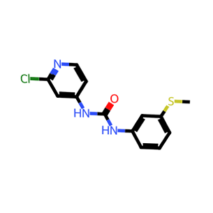 CSc1cccc(NC(=O)Nc2ccnc(Cl)c2)c1